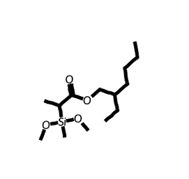 CCCCC(CC)COC(=O)C(C)[Si](C)(OC)OC